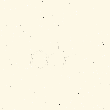 O=[C](O)[SnH]([Cl])[c]1ccccc1